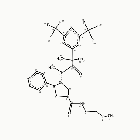 COCCNC(=O)N1CC(c2ccccc2)[C@H](N(C)C(=O)C(C)(C)c2cc(C(F)(F)F)cc(C(F)(F)F)c2)C1